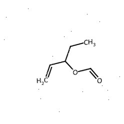 C=CC(CC)OC=O